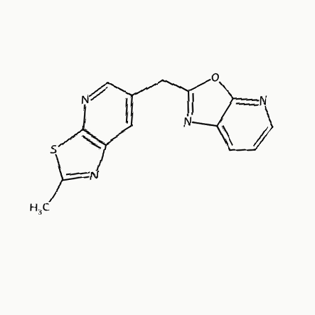 Cc1nc2cc(Cc3nc4cccnc4o3)cnc2s1